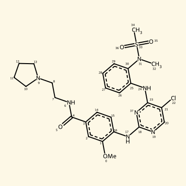 COc1cc(C(=O)NCCN2CCCC2)ccc1Nc1ncc(Cl)c(Nc2ccccc2N(C)S(C)(=O)=O)n1